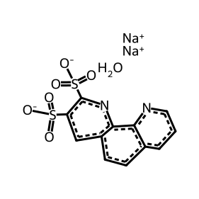 O.O=S(=O)([O-])c1cc2ccc3cccnc3c2nc1S(=O)(=O)[O-].[Na+].[Na+]